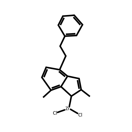 CC1=Cc2c(CCc3ccccc3)ccc(C)c2[CH]1[Zr]([Cl])[Cl]